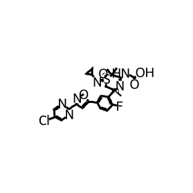 CC1(C)C(NC(=O)O)=N[C@](C)(c2cc(-c3cc(-c4ncc(Cl)cn4)no3)ccc2F)CS1(=O)=NC1CC1